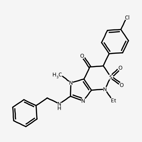 CCN1c2nc(NCc3ccccc3)n(C)c2C(=O)C(c2ccc(Cl)cc2)S1(=O)=O